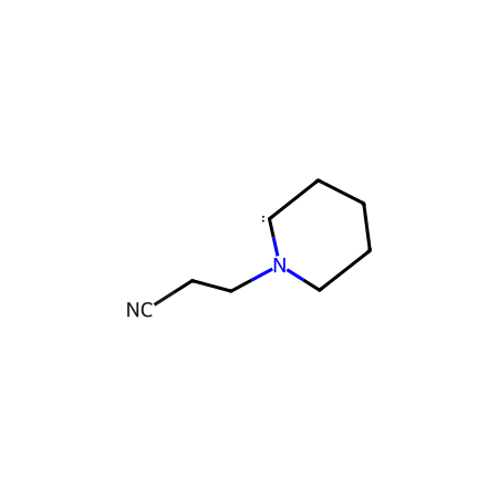 N#CCCN1[C]CCCC1